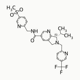 CC(C)[C@H]1c2ncc(C(=O)NCc3ccc(S(C)(=O)=O)cn3)cc2CN1Cc1ccc(C(F)(F)F)cn1